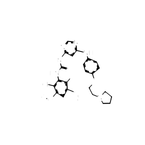 COc1cc(OC)c(Cl)c(NC(=O)Nc2cc(Nc3ccc(OCCN4CCCC4)cc3)ncn2)c1Cl